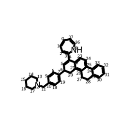 C1=CC=C(C2=CC(c3ccc(CN4CCCCC4)cc3)Cc3c2ccc2c3CCc3ccccc3-2)NC=C1